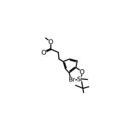 COC(=O)CCc1ccc(O[Si](C)(C)C(C)(C)C)c(Br)c1